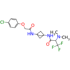 CN(C)C(C(=O)NC12CC(NC(=O)COc3ccc(Cl)cc3)(C1)C2)C(F)(F)F